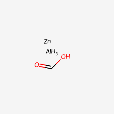 O=CO.[AlH3].[Zn]